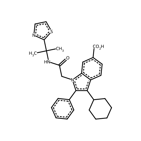 CC(C)(NC(=O)Cn1c(-c2ccccc2)c(C2CCCCC2)c2ccc(C(=O)O)cc21)c1nccs1